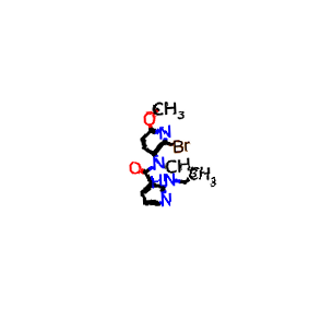 CCNc1ncccc1C(=O)N(C)c1ccc(OC)nc1Br